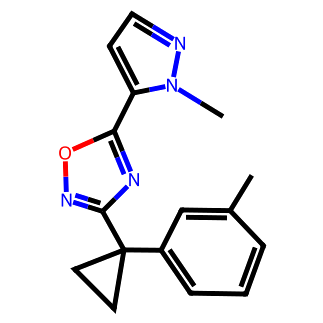 Cc1cccc(C2(c3noc(-c4ccnn4C)n3)CC2)c1